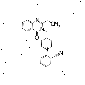 CCc1nc2ccccc2c(=O)n1CC1CCN(c2ccccc2C#N)CC1